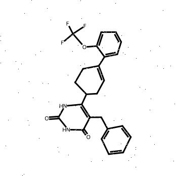 O=c1[nH]c(C2CC=C(c3ccccc3OC(F)(F)F)CC2)c(Cc2ccccc2)c(=O)[nH]1